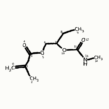 C=C(C)C(=O)OCC(CC)OC(=O)NC